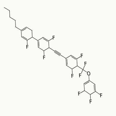 CCCCCC1=CCC(C2=CC(F)C(C#CC3=CC(F)C(C(F)(F)OC4=CC(F)C(F)C(F)=C4)C(F)=C3)C(F)=C2)C(F)=C1